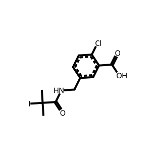 CC(C)(I)C(=O)NCc1ccc(Cl)c(C(=O)O)c1